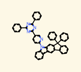 c1ccc(-c2nc(-c3ccccc3)nc(-c3ccc(-n4c5ccccc5c5cc6c(cc54)C(c4ccccc4)(c4ccccc4)c4ccccc4-6)nc3)n2)cc1